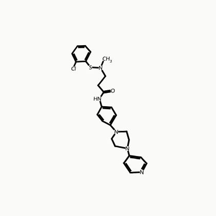 CN(CCC(=O)Nc1ccc(N2CCN(c3ccncc3)CC2)cc1)Sc1ccccc1Cl